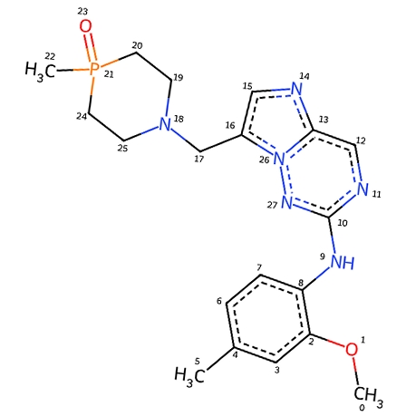 COc1cc(C)ccc1Nc1ncc2ncc(CN3CCP(C)(=O)CC3)n2n1